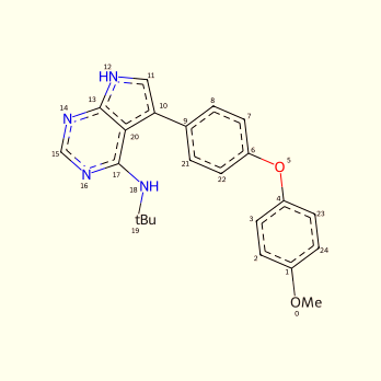 COc1ccc(Oc2ccc(-c3c[nH]c4ncnc(NC(C)(C)C)c34)cc2)cc1